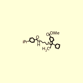 C=Cc1c(-c2ccccc2)c2ccc(C(=O)OC)cc2n1CCCCNC(=O)c1ccc(C(C)C)cc1